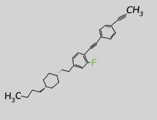 CC#Cc1ccc(C#Cc2ccc(CC[C@H]3CC[C@H](CCCC)CC3)cc2F)cc1